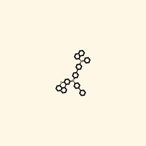 c1ccc(-c2ccc(N(c3ccc(-c4ccc(N(c5ccccc5)c5cccc6ccccc56)cc4)cc3)c3ccc4c(c3)-c3cccc5cccc(c35)S4)cc2)cc1